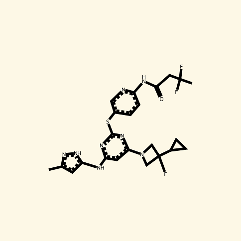 Cc1cc(Nc2cc(N3CC(F)(C4CC4)C3)nc(Sc3ccc(NC(=O)CC(C)(F)F)nc3)n2)[nH]n1